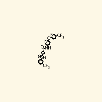 O=C(Nc1ccc(Oc2ccc(C(F)(F)F)cn2)nc1)[C@H]1C[C@H](S(=O)(=O)c2cccc(C(F)(F)F)c2)C1